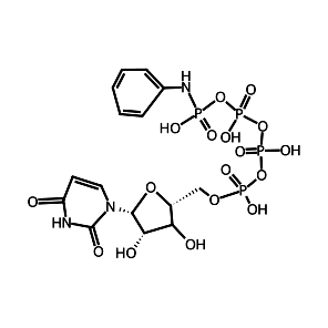 O=c1ccn([C@@H]2O[C@H](COP(=O)(O)OP(=O)(O)OP(=O)(O)OP(=O)(O)Nc3ccccc3)C(O)[C@@H]2O)c(=O)[nH]1